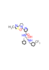 Cc1csc(C2CCCN2C(=O)c2cc(C(=O)N[C@@H](Cc3ccccc3)[C@H](O)CNCc3cccc(C(F)(F)F)c3)ccn2)n1